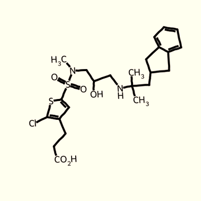 CN(CC(O)CNC(C)(C)CC1Cc2ccccc2C1)S(=O)(=O)c1cc(CCC(=O)O)c(Cl)s1